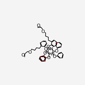 c1ccc(ON2P(Oc3ccccc3)N=P(Oc3ccccc3CCCCOCC3CO3)(Oc3ccccc3CCCCOCC3CO3)N(Oc3ccccc3)P2Oc2ccccc2)cc1